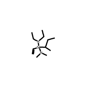 C=C[Si](C(C)CC)(N(C)C)N(CC)CC